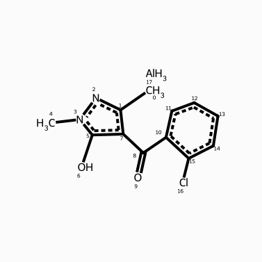 Cc1nn(C)c(O)c1C(=O)c1ccccc1Cl.[AlH3]